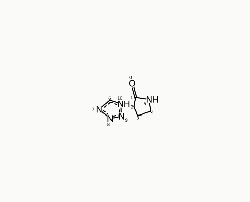 O=C1CCCN1.c1nnn[nH]1